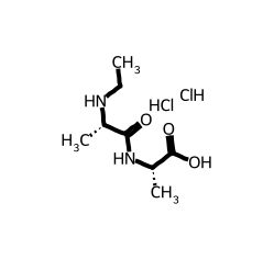 CCN[C@@H](C)C(=O)N[C@@H](C)C(=O)O.Cl.Cl